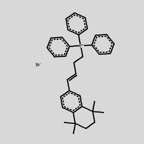 CC1(C)CCC(C)(C)c2cc(C=CCC[P+](c3ccccc3)(c3ccccc3)c3ccccc3)ccc21.[Br-]